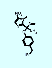 C=NC(N)(Oc1ccc(CC(C)C)cc1)c1ncc([N+](=O)[O-])n1C